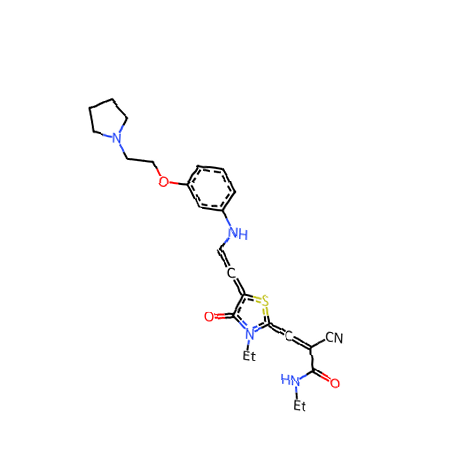 CCNC(=O)C(=C=c1sc(=C=CNc2cccc(OCCN3CCCC3)c2)c(=O)n1CC)C#N